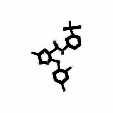 Cc1cc(C(=O)Nc2cccc(S(C)(=O)=O)c2)c(Oc2ccc(F)cc2C)nn1